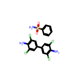 NS(=O)(=O)c1ccccc1.Nc1c(Cl)cc(-c2cc(Cl)c(N)c(Cl)c2)cc1Cl